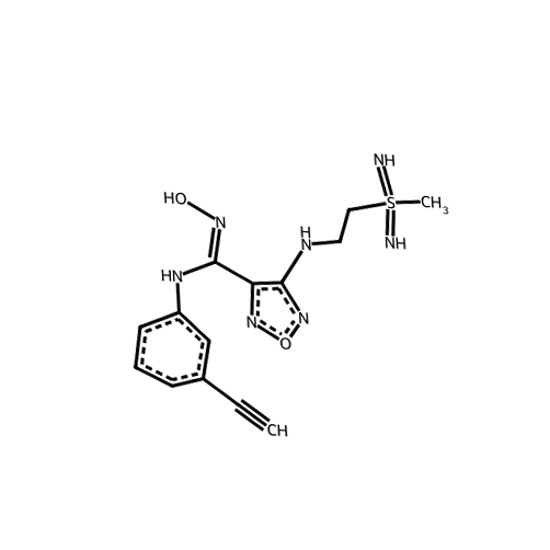 C#Cc1cccc(N/C(=N\O)c2nonc2NCCS(C)(=N)=N)c1